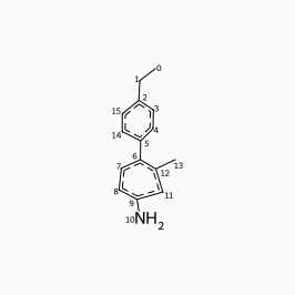 CCc1ccc(-c2ccc(N)cc2C)cc1